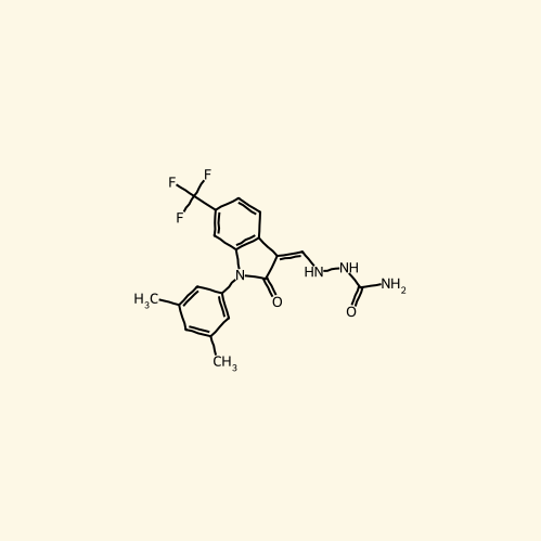 Cc1cc(C)cc(N2C(=O)/C(=C\NNC(N)=O)c3ccc(C(F)(F)F)cc32)c1